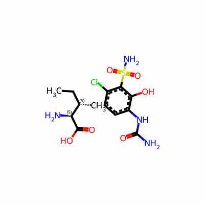 CC[C@H](C)[C@H](N)C(=O)O.NC(=O)Nc1ccc(Cl)c(S(N)(=O)=O)c1O